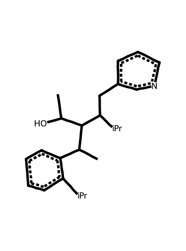 CC(C)c1ccccc1C(C)C(C(C)O)C(Cc1cccnc1)C(C)C